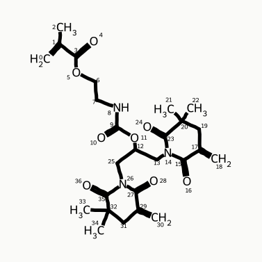 C=C(C)C(=O)OCCNC(=O)OC(CN1C(=O)C(=C)CC(C)(C)C1=O)CN1C(=O)C(=C)CC(C)(C)C1=O